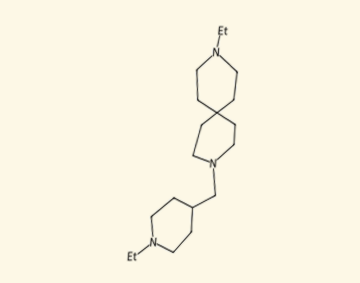 CCN1CCC(CN2CCC3(CCN(CC)CC3)CC2)CC1